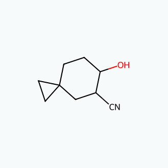 N#CC1CC2(CCC1O)CC2